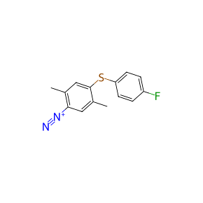 Cc1cc(Sc2ccc(F)cc2)c(C)cc1[N+]#N